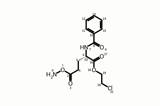 NOC(=O)CC[C@H](NC(=O)c1ccccc1)C(=O)OCCCl